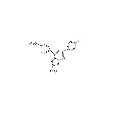 COc1ccc(-c2cc(-c3ccc(C(F)(F)F)cc3)nc3cc(C(=O)O)nn23)cc1